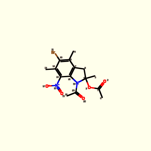 CC(=O)OC1(C)Cc2c(C)c(Br)c(C)c([N+](=O)[O-])c2N1C(C)=O